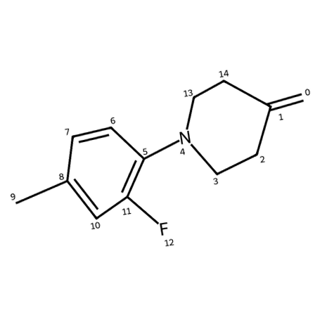 C=C1CCN(c2ccc(C)cc2F)CC1